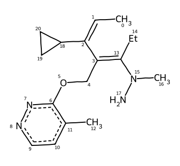 C/C=C(\C(COc1nnccc1C)=C(/CC)N(C)N)C1CC1